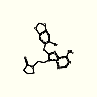 Nc1ncnc2c1nc(Sc1cc3c(cc1Br)OCO3)n2CCN1CCCC1=O